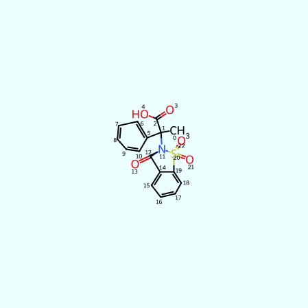 CC(C(=O)O)(c1ccccc1)N1C(=O)c2ccccc2S1(=O)=O